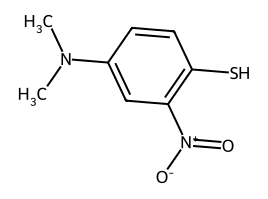 CN(C)c1ccc(S)c([N+](=O)[O-])c1